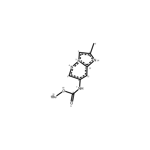 Cc1cn2ncc(NC(=O)OC(C)(C)C)cc2n1